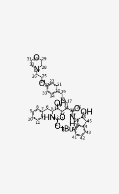 CC(C)(C)OC(=O)NC(Cc1ccccc1)C(O)CC(C/C=C/c1ccc(OCCN2CCOCC2)cc1)C(=O)N[C@H]1c2ccccc2C[C@@H]1O